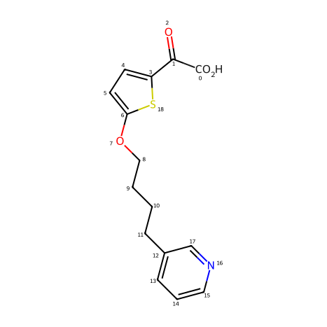 O=C(O)C(=O)c1ccc(OCCCCc2cccnc2)s1